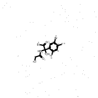 CCC(=O)C(C)(NC(=O)CCl)c1cc(Br)c(F)cc1F